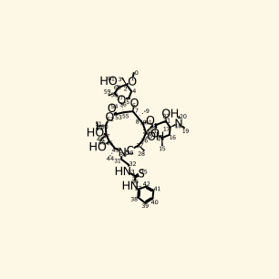 CO[C@]1(C)C[C@H](O[C@H]2[C@H](C)[C@@H](O[C@@H]3O[C@H](C)C[C@H](N(C)C)[C@H]3O)[C@](C)(O)C[C@@H](C)CN(CCNC(=S)Nc3ccccc3)[C@H](C)[C@@H](O)[C@](C)(O)[C@@H](I)OC(=O)[C@@H]2C)O[C@@H](C)[C@@H]1O